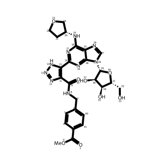 COC(=O)c1ccc(CNC(=O)c2nn[nH]c2-c2nc(N[C@@H]3CCOC3)c3ncn([C@@H]4O[C@H](CO)[C@@H](O)[C@H]4O)c3n2)cc1